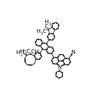 C=C1/C=C\C=C/Cc2ccc(-c3c4ccccc4c(-c4ccc5c(c4)C(C)(C)c4ccccc4-5)c4ccc(-c5ccc6c7c5ccc5c(C#N)ccc(c57)n6-c5ccccc5)cc34)cc2C1(C)C